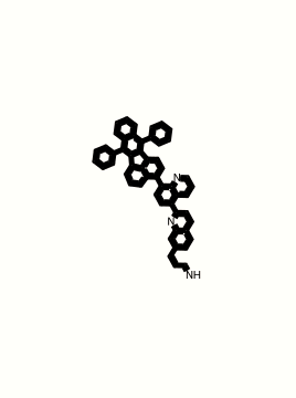 N=C/C=C\c1ccc2ccc(-c3ccc(-c4ccc5c6c(cccc46)-c4c-5c(-c5ccccc5)c5ccccc5c4-c4ccccc4)c4ncccc34)nc2c1